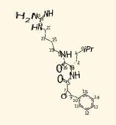 CC(C)CC[C@H](NC(=O)C1OC1c1ccccc1)C(=O)NCCCCNC(=N)N